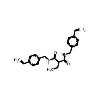 C=Cc1ccc(CNC(=O)C(CC)C(=O)NCc2ccc(C=C)cc2)cc1